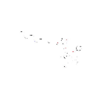 CC/C=C\C/C=C\C/C=C\C/C=C\C/C=C\C/C=C/CCC(=O)O[C@@H](C(=O)O[C@H]1C[C@@]2(O)[C@@H](OC(=O)c3ccccc3)C3[C@](C)(C(=O)[C@H](OC(=O)CC)C(=C1C)C2(C)C)[C@@H](O)C[C@H]1OC[C@@]31OC(C)=O)[C@H](C=C(C)C)NC(=O)OC(C)(C)C